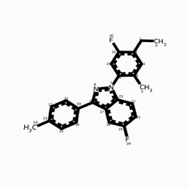 CCc1cc(C)c(-n2nc(-c3ccc(C)cc3)c3cc(F)ccc32)cc1F